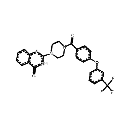 O=C(c1ccc(Oc2cccc(C(F)(F)F)c2)cc1)N1CCN(c2nc3ccccc3c(=O)[nH]2)CC1